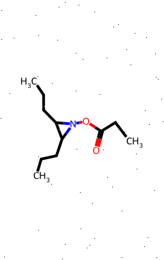 CCCC1C(CCC)N1OC(=O)CC